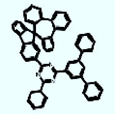 C1=CCC(c2nc(-c3cc(-c4ccccc4)cc(-c4ccccc4)c3)nc(-c3ccc4c(c3)C3(c5ccccc5-c5ccccc5-c5ccccc53)c3ccccc3-4)n2)C=C1